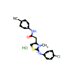 Cl.Cn1c(CC(=O)Nc2ccc(C#N)cc2)cs/c1=N/c1ccc(Cl)cc1